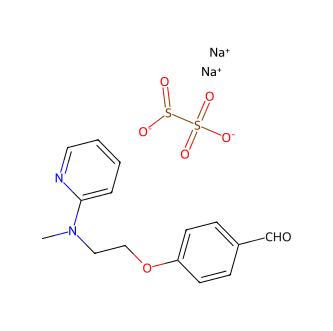 CN(CCOc1ccc(C=O)cc1)c1ccccn1.O=S([O-])S(=O)(=O)[O-].[Na+].[Na+]